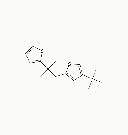 CC(C)(C)c1csc(CC(C)(C)c2cccs2)c1